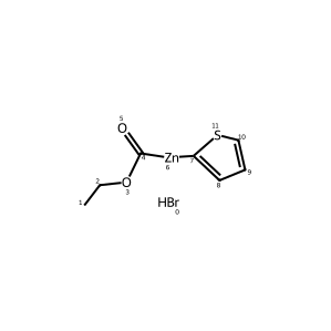 Br.CCO[C](=O)[Zn][c]1cccs1